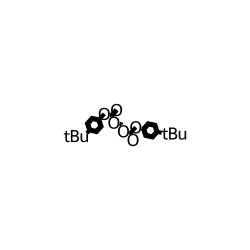 CC(C)(C)c1ccc(OC(=O)OCOC(=O)Oc2ccc(C(C)(C)C)cc2)cc1